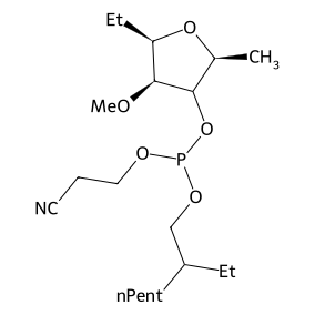 CCCCCC(CC)COP(OCCC#N)OC1[C@H](C)O[C@H](CC)[C@@H]1OC